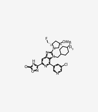 CO[C@@H]1C[C@@H](CF)N(c2nc3cc(-c4noc(=O)[nH]4)nc(-c4cncc(Cl)c4)c3n2CC2CCC(C)CC2)C1